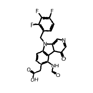 O=CNc1c(CC(=O)O)ccc2c1C1C(=O)C=NC=C1N2Cc1ccc(F)c(F)c1F